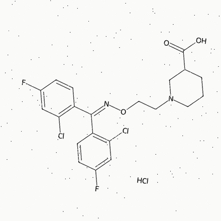 Cl.O=C(O)C1CCCN(CCON=C(c2ccc(F)cc2Cl)c2ccc(F)cc2Cl)C1